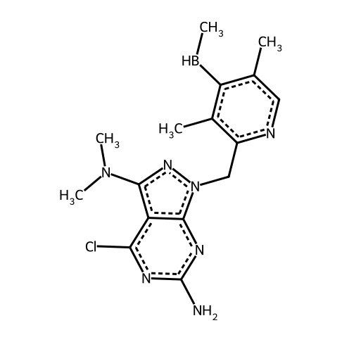 CBc1c(C)cnc(Cn2nc(N(C)C)c3c(Cl)nc(N)nc32)c1C